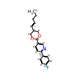 CCC/C=C/C1COC(c2ccc(-c3ccc(F)cc3)nc2)OC1